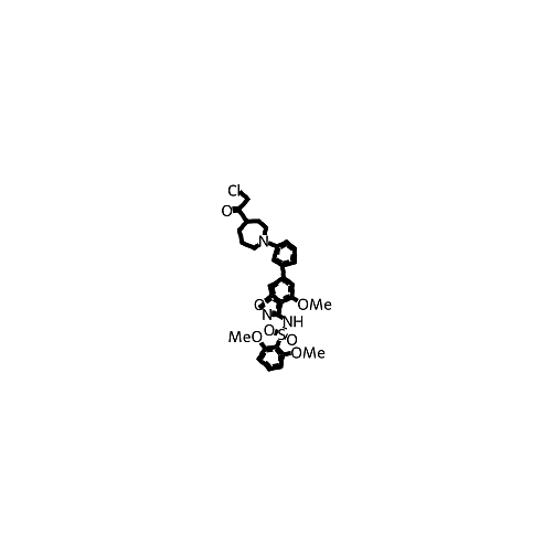 COc1cccc(OC)c1S(=O)(=O)Nc1noc2cc(-c3cccc(N4CCCC(C(=O)CCl)CC4)c3)cc(OC)c12